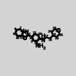 Nc1cc(-c2nc3ccccc3o2)ccc1NCCC1CCOCC1